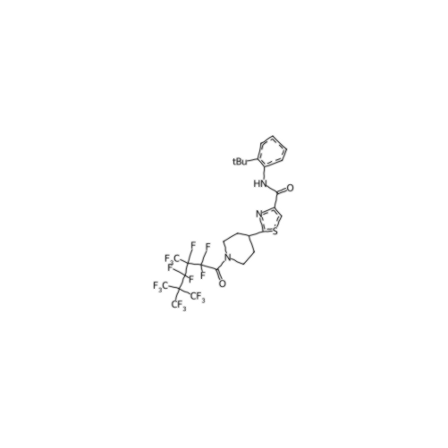 CC(C)(C)c1ccccc1NC(=O)c1csc(C2CCN(C(=O)C(F)(F)C(F)(C(F)(F)F)C(F)(F)C(C(F)(F)F)(C(F)(F)F)C(F)(F)F)CC2)n1